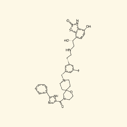 O=C(c1cnc(-c2ccccc2)[nH]1)N1CCOC2(CCN(Cc3cc(F)cc(CCNC[C@H](O)c4ccc(O)c5[nH]c(=O)sc45)c3)CC2)C1